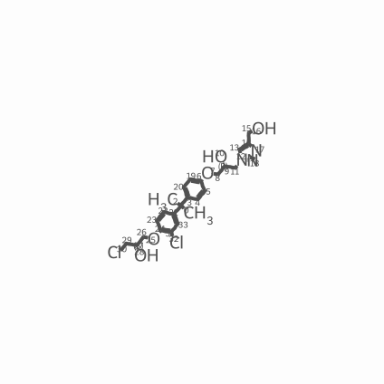 CC(C)(c1ccc(OC[C@H](O)Cn2cc(CO)nn2)cc1)c1ccc(OC[C@H](O)CCl)c(Cl)c1